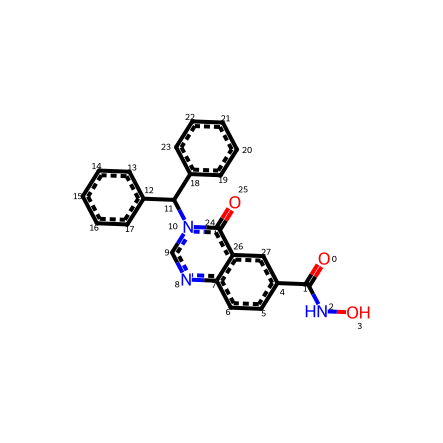 O=C(NO)c1ccc2ncn(C(c3ccccc3)c3ccccc3)c(=O)c2c1